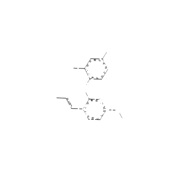 CCOc1ccc(C=CC(=O)O)c(Oc2ccc(Cl)cc2Cl)n1